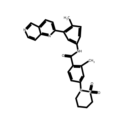 Cc1cc(N2CCCCS2(=O)=O)ccc1C(=O)Nc1ccc(C)c(-c2ccc3cnccc3n2)c1